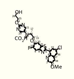 COc1cnc2c(-c3nc4cc(F)c(O[C@@H](C)[C@@H](C)N(C(=O)O)c5cnc(OCCO)nc5)cc4s3)cc(Cl)cc2c1